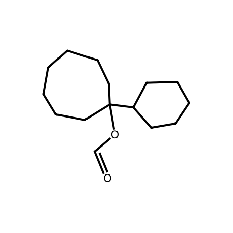 O=COC1(C2CCCCC2)CCCCCCC1